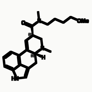 COCCCCN(C)C(=O)[C@@H]1C=C2c3cccc4[nH]cc(c34)C[C@H]2N(C)C1